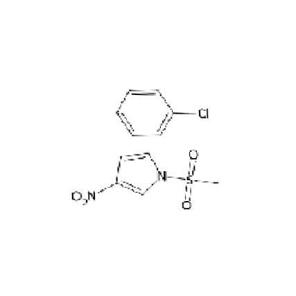 CS(=O)(=O)n1ccc([N+](=O)[O-])c1.Clc1ccccc1